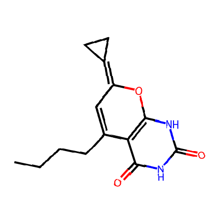 CCCCC1=CC(=C2CC2)Oc2[nH]c(=O)[nH]c(=O)c21